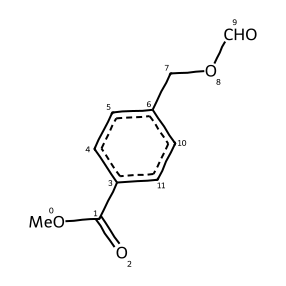 COC(=O)c1ccc(COC=O)cc1